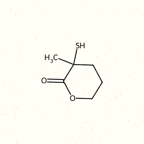 CC1(S)CCCOC1=O